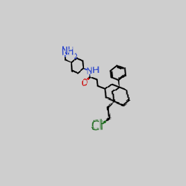 NC[C@H]1CC[C@@H](NC(=O)CCC2C[C@@]3(CCCl)CCC[C@@](c4ccccc4)(C2)C3)CC1